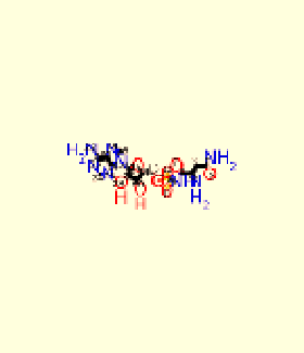 NC(=O)C[C@H](N)C(=O)NS(=O)(=O)OC[C@H]1O[C@@H](n2cnc3c(N)ncnc32)[C@H](O)[C@H]1O